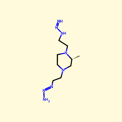 C[C@@H]1CN(CCN=NN)CCN1CCNN=N